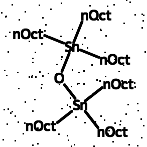 CCCCCCC[CH2][Sn]([CH2]CCCCCCC)([CH2]CCCCCCC)[O][Sn]([CH2]CCCCCCC)([CH2]CCCCCCC)[CH2]CCCCCCC